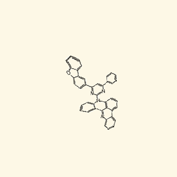 c1ccc(-c2cc(-c3ccc4oc5ccccc5c4c3)nc(N3c4ccccc4-c4nc5ccccc5c5cccc3c45)n2)cc1